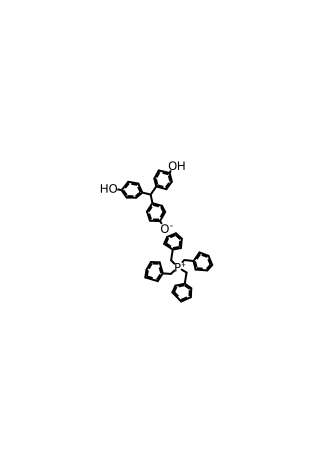 [O-]c1ccc(C(c2ccc(O)cc2)c2ccc(O)cc2)cc1.c1ccc(C[P+](Cc2ccccc2)(Cc2ccccc2)Cc2ccccc2)cc1